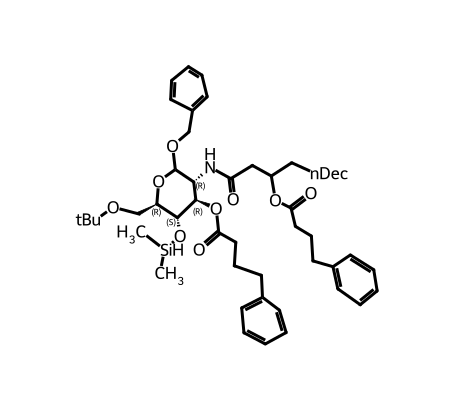 CCCCCCCCCCCC(CC(=O)N[C@H]1C(OCc2ccccc2)O[C@H](COC(C)(C)C)[C@@H](O[SiH](C)C)[C@@H]1OC(=O)CCCc1ccccc1)OC(=O)CCCc1ccccc1